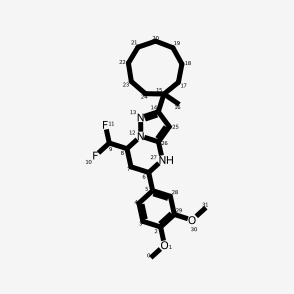 COc1ccc(C2CC(C(F)F)n3nc(C4(C)CCCCCCCC4)cc3N2)cc1OC